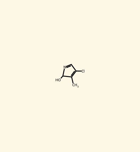 CC1=C(Cl)C=NC1O